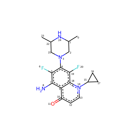 CC1CN(c2c(F)c(N)c3c(=O)ccn(C4CC4)c3c2F)CC(C)N1